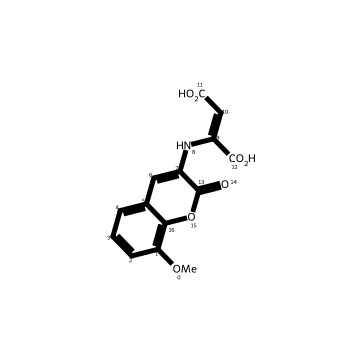 COc1cccc2cc(N/C(=C\C(=O)O)C(=O)O)c(=O)oc12